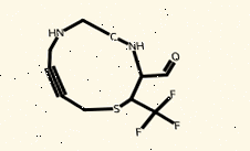 O=CC1NCCNCC#CCSC1C(F)(F)F